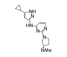 CN[C@@H]1CCN(c2nccc(Nc3cc(C4CC4)[nH]n3)n2)C1